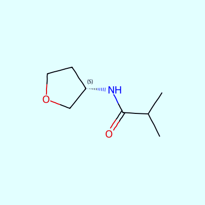 CC(C)C(=O)N[C@H]1CCOC1